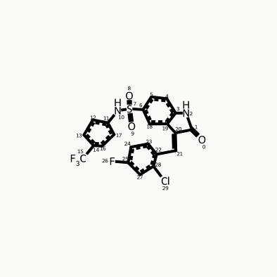 O=C1Nc2ccc(S(=O)(=O)Nc3ccc(C(F)(F)F)cc3)cc2C1=Cc1ccc(F)cc1Cl